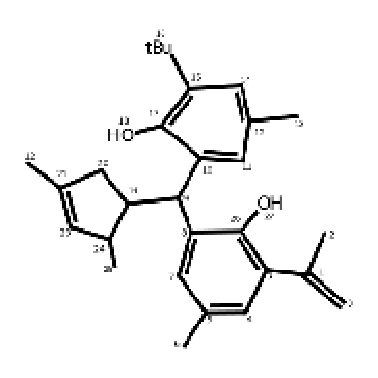 C=C(C)c1cc(C)cc(C(c2cc(C)cc(C(C)(C)C)c2O)C2CC(C)=CC2C)c1O